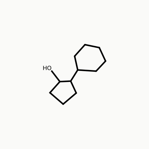 OC1CCCC1C1CCCCC1